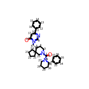 O=C(N1CC[C@@H](Cn2cnc(-c3ccccc3)cc2=O)C2(CCCC2)C1)N1CCCC[C@H]1c1ccccc1